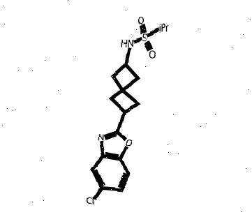 CC(C)S(=O)(=O)NC1CC2(C1)CC(c1nc3cc(Cl)ccc3o1)C2